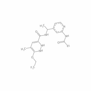 CCC(=O)Nc1cc(C(C)NC(=O)C2=CC(C)=C(OCC(F)(F)F)NN2)ccn1